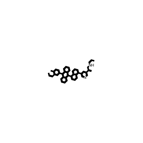 C=C(CN/C=C\C)c1cncc(-c2cccc3c(-c4c5ccccc5c(-c5ccc(C)c(/C=C\C)c5)c5ccccc45)cccc23)c1